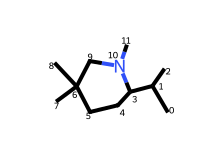 CC(C)C1CCC(C)(C)CN1C